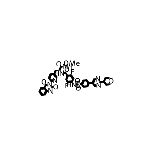 CONC(=O)[C@H](Cc1ccc(-n2c(=O)c3ccccc3n(C)c2=O)nc1)NC(=O)c1cc(F)c(NS(=O)(=O)c2ccc(-c3cnc(C4CCOCC4)nc3)cc2)cc1F